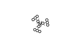 Cc1cc(N(c2cc(C)c(-c3c4ccccc4cc4ccccc34)cc2C)c2cc(C)c(-c3c4ccccc4cc4ccccc34)cc2C)c(C)cc1-c1c2ccccc2cc2ccccc12